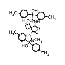 Cc1ccc(C(O)(c2ccc(C)cc2)[C@@H](C)NC(=O)C2(C(=O)N[C@H](C)C(O)(c3ccc(C)cc3)c3ccc(C)cc3)CCC2)cc1